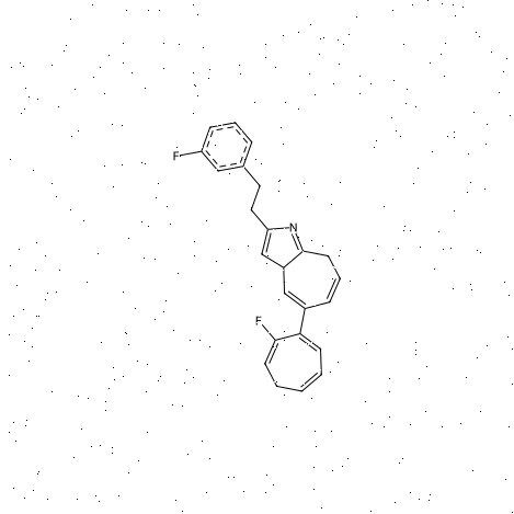 FC1=CCC=CC=C1C1=CC2C=C(CCc3cccc(F)c3)N=C2CC=C1